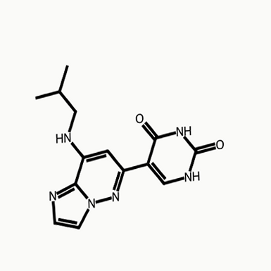 CC(C)CNc1cc(-c2c[nH]c(=O)[nH]c2=O)nn2ccnc12